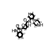 O=C(Nc1cnccc1N1CCNCC1)C1=CCC(n2c(=O)[nH]c3ccccc32)O1